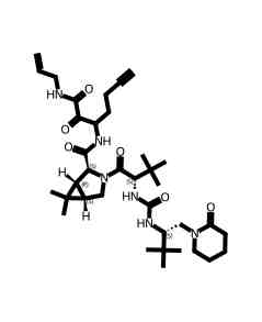 C#CCCC(NC(=O)[C@@H]1[C@@H]2[C@H](CN1C(=O)[C@@H](NC(=O)N[C@H](CN1CCCCC1=O)C(C)(C)C)C(C)(C)C)C2(C)C)C(=O)C(=O)NCC=C